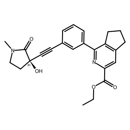 CCOC(=O)c1cc2c(c(-c3cccc(C#C[C@]4(O)CCN(C)C4=O)c3)n1)CCC2